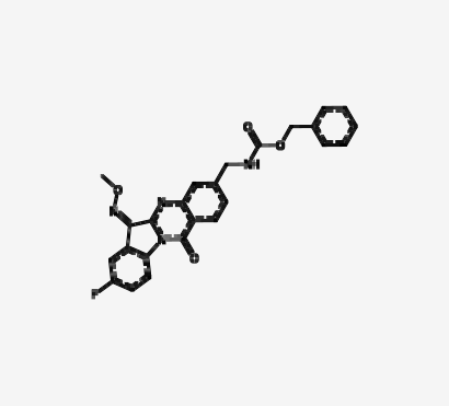 CO/N=C1/c2cc(F)ccc2-n2c1nc1cc(CNC(=O)OCc3ccccc3)ccc1c2=O